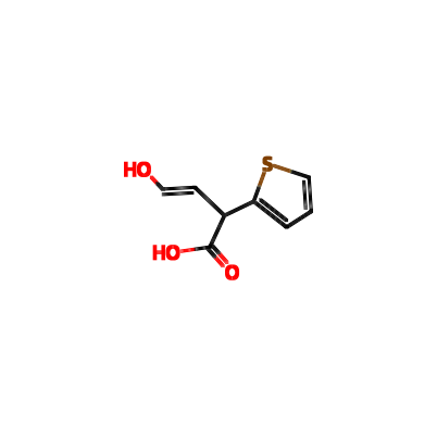 O=C(O)C(C=CO)c1cccs1